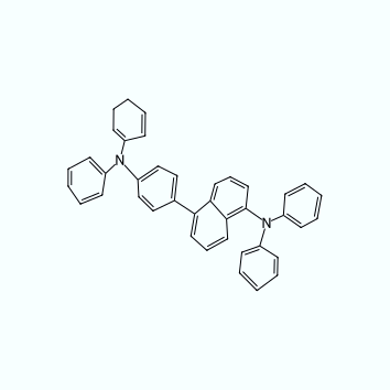 C1=CC(N(c2ccccc2)c2ccc(-c3cccc4c(N(c5ccccc5)c5ccccc5)cccc34)cc2)=CCC1